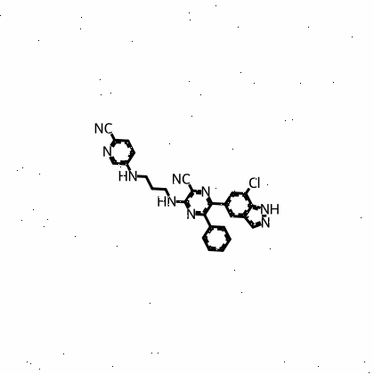 N#Cc1ccc(NCCCNc2nc(-c3ccccc3)c(-c3cc(Cl)c4[nH]ncc4c3)nc2C#N)cn1